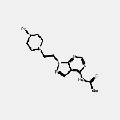 CC(C)N1CCN(CCn2ncc3c(NC(=O)C(C)(C)C)ncnc32)CC1